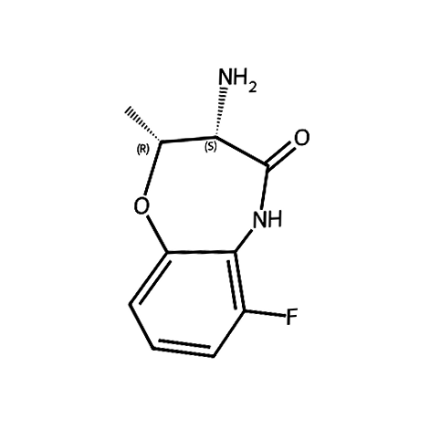 C[C@H]1Oc2cccc(F)c2NC(=O)[C@H]1N